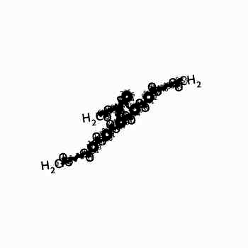 C=CC(=O)OCCCCOC(=O)C1CCC(C(=O)OC2CCC(C(=O)Oc3ccc(OC(=O)C4CCC(OC(=O)C5CCC(C(=O)OCCCCOC(=O)C=C)CC5)CC4)c(/C=N/N(CCOC(=O)C=C)c4nc5ccccc5s4)c3)CC2)CC1